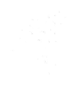 COCC(C)NC(=O)c1cccc(Nc2nccc(-c3c(-c4cccc(NC(=O)Cc5ccccc5)c4)nc4sccn34)n2)c1